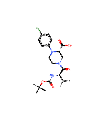 CC(C)[C@H](NC(=O)OC(C)(C)C)C(=O)N1CCN(c2ccc(Cl)cc2)[C@H](C(=O)O)C1